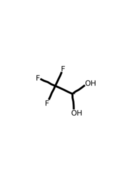 O[C](O)C(F)(F)F